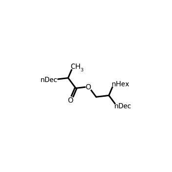 CCCCCCCCCCC(CCCCCC)COC(=O)C(C)CCCCCCCCCC